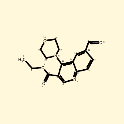 CCOC(=O)c1cnc2ccc(C=O)cc2c1N1CCOCC1